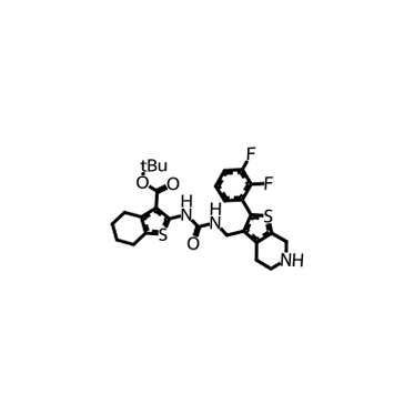 CC(C)(C)OC(=O)c1c(NC(=O)NCc2c(-c3cccc(F)c3F)sc3c2CCNC3)sc2c1CCCC2